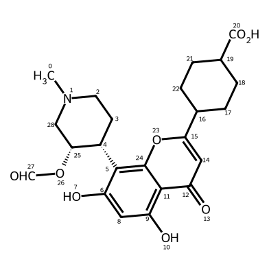 CN1CC[C@H](c2c(O)cc(O)c3c(=O)cc(C4CCC(C(=O)O)CC4)oc23)[C@H](OC=O)C1